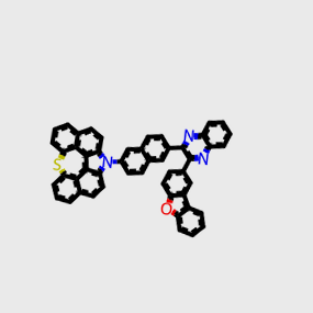 c1ccc2nc(-c3ccc4oc5ccccc5c4c3)c(-c3ccc4cc(-n5c6ccc7cccc8sc9cccc%10ccc5c(c%109)c6c78)ccc4c3)nc2c1